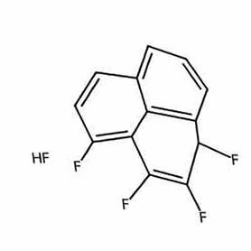 F.FC1=C(F)C(F)c2cccc3ccc(F)c1c23